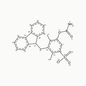 Cc1c(OC(N)=O)cc(S(=O)(=O)Cl)c(C)c1CC1c2ccccc2-c2ccccc21